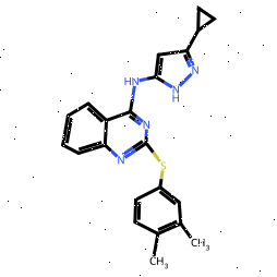 Cc1ccc(Sc2nc(Nc3cc(C4CC4)n[nH]3)c3ccccc3n2)cc1C